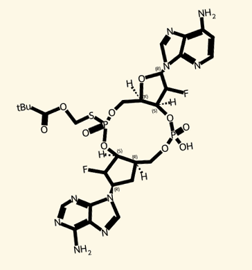 CC(C)(C)C(=O)OCSP1(=O)OC[C@H]2O[C@@H](n3cnc4c(N)ccnc43)C(F)[C@H]2OP(=O)(O)OC[C@H]2C[C@@H](n3cnc4c(N)ncnc43)C(F)[C@H]2O1